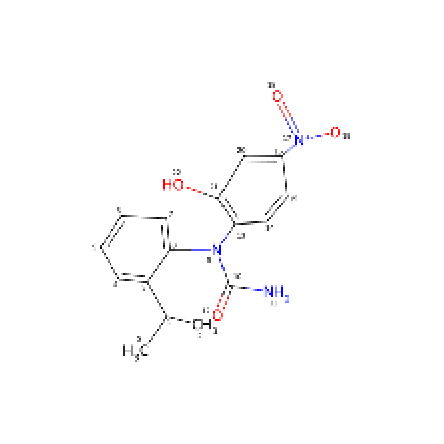 CC(C)c1ccccc1N(C(N)=O)c1ccc([N+](=O)[O-])cc1O